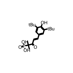 CC(C)(C)c1cc(C=CC(=O)C(C)(C)P(=O)(O)O)cc(C(C)(C)C)c1O